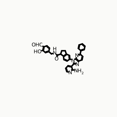 Nc1ncccc1-c1nc2ccc(-c3ccccc3)nc2n1-c1ccc2c(c1)CCC2C(=O)NCc1ccc(C=O)c(O)c1